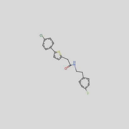 O=C(Cc1ccc(-c2ccc(Cl)cc2)s1)NCCc1ccc(F)cc1